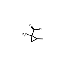 O=C(Cl)C1(C(F)(F)F)CC1I